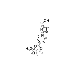 CC(C)(C)OC(=O)N1CCN(c2nc(CO)cs2)CC1